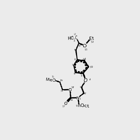 CCCCCCCCN(CCOc1ccc(CC(OCC)C(=O)O)cc1)C(=O)OCCOC